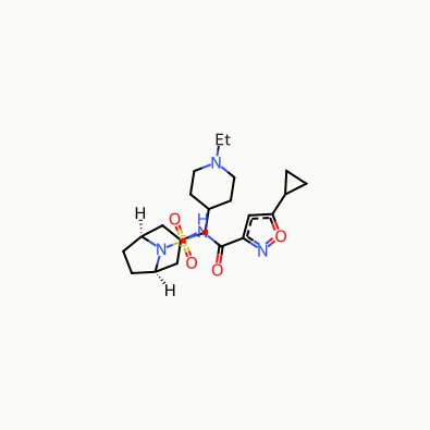 CCN1CCC(CS(=O)(=O)N2[C@@H]3CC[C@H]2C[C@@H](NC(=O)c2cc(C4CC4)on2)C3)CC1